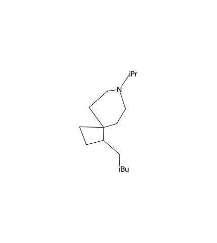 CCC(C)CC1CCC12CCN(C(C)C)CC2